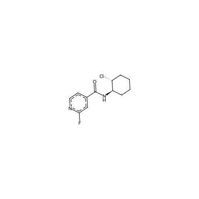 O=C(N[C@@H]1CCCC[C@H]1Cl)c1ccnc(F)c1